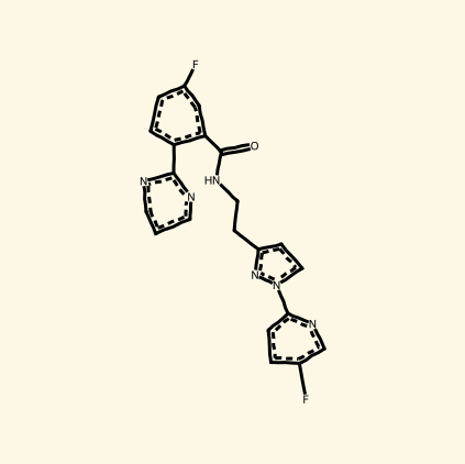 O=C(NCCc1ccn(-c2ccc(F)cn2)n1)c1cc(F)ccc1-c1ncccn1